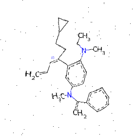 C=C/C=C(/CCC1CC1)c1cc(N(C)C(=C)c2ccccc2)ccc1N(C)CC